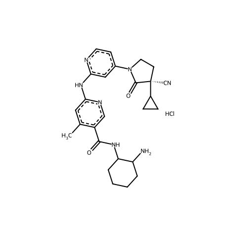 Cc1cc(Nc2cc(N3CC[C@@](C#N)(C4CC4)C3=O)ccn2)ncc1C(=O)NC1CCCCC1N.Cl